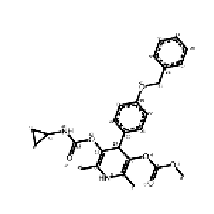 COC(=O)OC1=C(C)NC(C)=C(OC(=O)NC2CC2)C1c1ccc(OCc2ccccc2)cc1